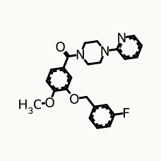 COc1ccc(C(=O)N2CCN(c3ccccn3)CC2)cc1OCc1cccc(F)c1